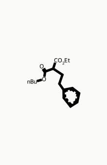 CCCCOC(=O)C(CCc1ccccc1)C(=O)OCC